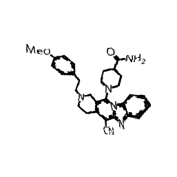 COc1ccc(CCN2CCc3c(c(N4CCC(C(N)=O)CC4)n4c(nc5ccccc54)c3C#N)C2)cc1